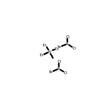 CC[N+](C)(CC)CC.ClB(Cl)Br.ClB(Cl)Br